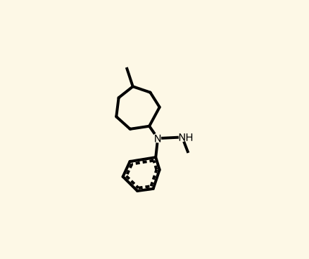 CNN(c1ccccc1)C1CCCC(C)CC1